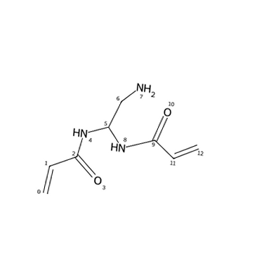 C=CC(=O)NC(CN)NC(=O)C=C